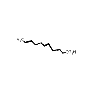 CC=CCCC=CCCCC(=O)O